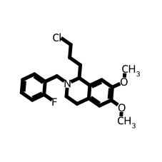 COc1cc2c(cc1OC)C(CCCCl)N(Cc1ccccc1F)CC2